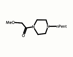 CCCCCN1CCN(C(=O)COC)CC1